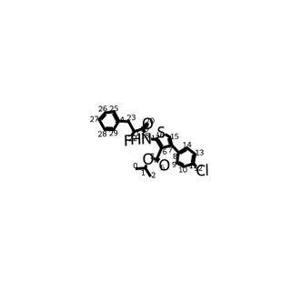 CC(C)OC(=O)c1c(-c2ccc(Cl)cc2)csc1NC(=O)C(F)Cc1ccccc1